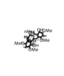 CCCCCC[C@H]1c2c(O)c(OC)c(C)c(OC)c2C[C@H]2[C@H]3c4c(O)c(OC)c(C)c(OC)c4C[C@@H]([C@H](C#N)N12)N3C